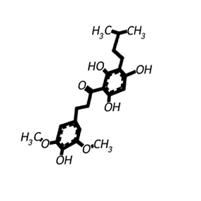 COc1cc(CCC(=O)c2c(O)cc(O)c(CCC(C)C)c2O)cc(OC)c1O